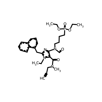 C#CCN(C)C(=O)c1c(N(C=O)CCCCP(=O)(OCC)OCC)nc(Cc2cccc3ccccc23)n1CC